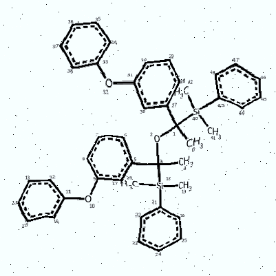 CC(OC(C)(c1cccc(Oc2ccccc2)c1)[Si](C)(C)c1ccccc1)(c1cccc(Oc2ccccc2)c1)[Si](C)(C)c1ccccc1